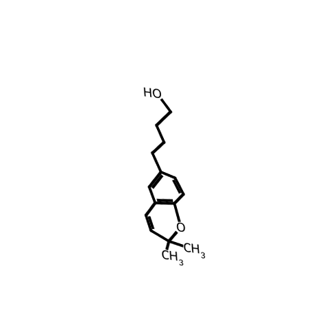 CC1(C)C=Cc2cc(CCCCO)ccc2O1